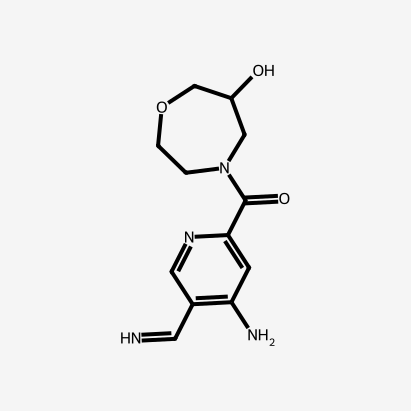 N=Cc1cnc(C(=O)N2CCOCC(O)C2)cc1N